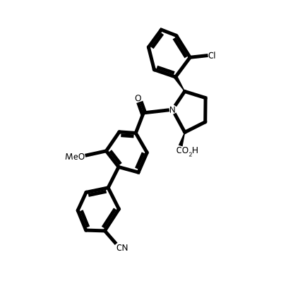 COc1cc(C(=O)N2[C@@H](c3ccccc3Cl)CC[C@H]2C(=O)O)ccc1-c1cccc(C#N)c1